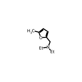 CCN(CC)Cc1ccc(C)o1